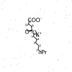 CC(C)CCCCCOC(=O)CCC(=O)[O-].[K+]